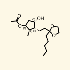 CCCCCC1(CC[C@@H]2[C@@H](C)[C@@H](OC(C)=O)C[C@@H]2O)OCCO1